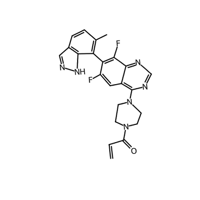 C=CC(=O)N1CCN(c2ncnc3c(F)c(-c4c(C)ccc5cn[nH]c45)c(F)cc23)CC1